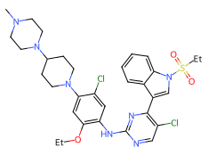 CCOc1cc(N2CCC(N3CCN(C)CC3)CC2)c(Cl)cc1Nc1ncc(Cl)c(-c2cn(S(=O)(=O)CC)c3ccccc23)n1